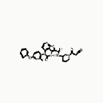 Cc1cc(Oc2ccccc2)ccc1N1C(=O)Nc2c(C(=O)NC3CCCN(C(=O)CC#N)C3)sc3nccc1c23